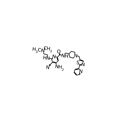 CN(C)CCNc1nc(C(=O)NCC2CCN(Cc3cnc(-c4ccccn4)s3)CC2)cc(N)c1C#N